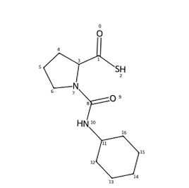 O=C(S)C1CCCN1C(=O)NC1CCCCC1